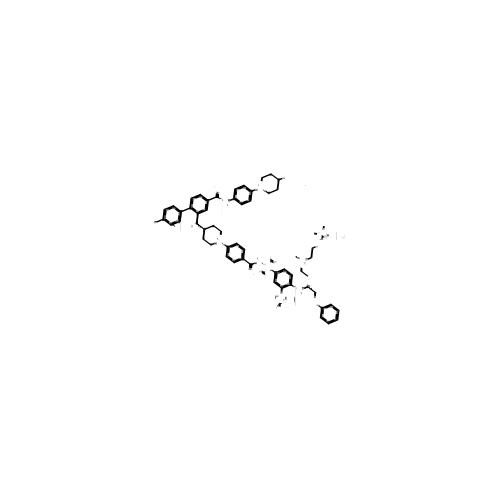 CN(CCO[Si](C)(C)C(C)(C)C)CC[C@H](CSc1ccccc1)Nc1ccc(S(=O)(=O)NC(=O)c2ccc(N3CCC([C@H](O)c4cc(C(=O)Nc5ccc(N6CCC(C(=O)O)CC6)cc5)ccc4-c4ccc(Cl)cc4)CC3)cc2)cc1S(=O)(=O)C(F)(F)F